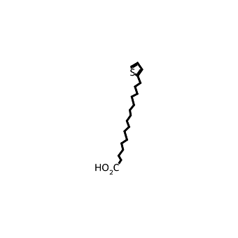 O=C(O)CCCCCCCCCCCCCCCc1cccs1